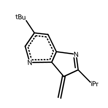 C=C1C(C(C)C)=Nc2cc(C(C)(C)C)cnc21